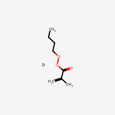 C=C(C)C(=O)OOCCCC.[Zr]